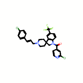 O=C(c1ccnc(Cl)c1)N1CC2(CCN(C/C=C/c3ccc(Cl)cc3)CC2)c2cc(C(F)(F)F)ccc21